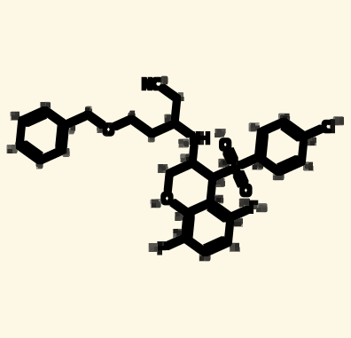 N#CCC(CCOCc1ccccc1)NC1COc2c(F)ccc(F)c2C1S(=O)(=O)c1ccc(Cl)cc1